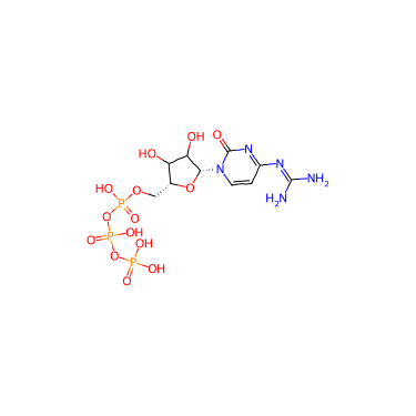 NC(N)=Nc1ccn([C@@H]2O[C@H](COP(=O)(O)OP(=O)(O)OP(=O)(O)O)C(O)C2O)c(=O)n1